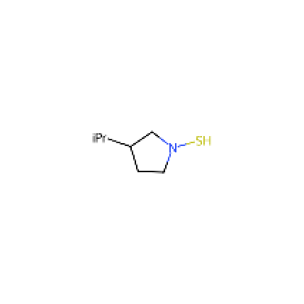 CC(C)C1CCN(S)C1